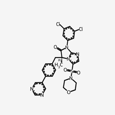 C[C@@]1(Cc2ccc(-c3cncnc3)cc2)C(=O)N(c2cc(Cl)cc(Cl)c2)c2ncc(S(=O)(=O)N3CCOCC3)n21